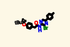 Cc1ccc(-c2cnc(NC(=O)Cc3ccc(O[Si](C)(C)C(C)(C)C)cc3)c(Br)n2)cc1